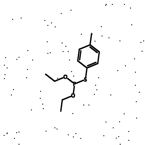 CCOP(OCC)Sc1ccc(C)cc1